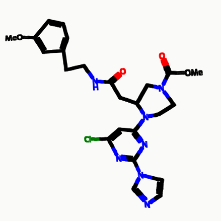 COC(=O)N1CCN(c2cc(Cl)nc(-n3ccnc3)n2)C(CC(=O)NCCc2cccc(OC)c2)C1